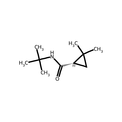 CC(C)(C)NC(=O)[C@H]1CC1(C)C